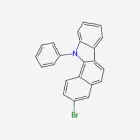 Brc1ccc2c(ccc3c4ccccc4n(-c4ccccc4)c23)c1